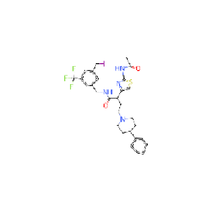 CC(=O)Nc1nc(C(CCN2CCC(c3ccccc3)CC2)C(=O)NCc2cc(CI)cc(C(F)(F)F)c2)cs1